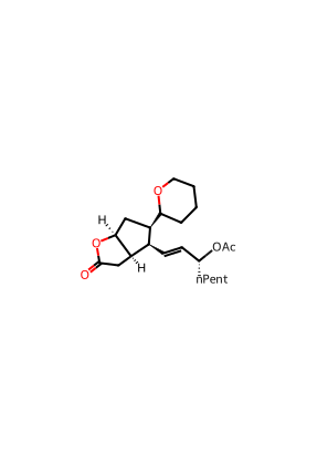 CCCCC[C@H](/C=C/[C@H]1[C@H]2CC(=O)O[C@H]2C[C@H]1C1CCCCO1)OC(C)=O